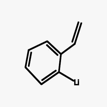 [Li][c]1ccccc1C=C